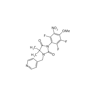 COc1c(F)c(F)c(N2C(=O)N(Cc3ccncc3)C(C)(C)C2=O)c(F)c1[N+](=O)[O-]